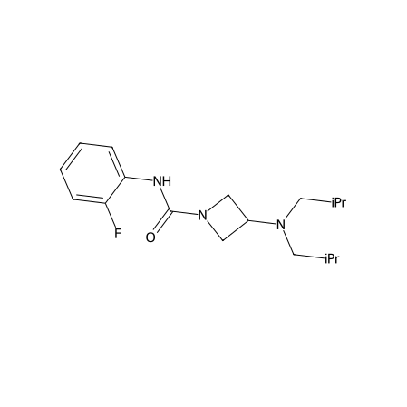 CC(C)CN(CC(C)C)C1CN(C(=O)Nc2ccccc2F)C1